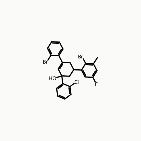 Cc1cc(F)cc(C2CC(c3ccccc3Br)=CC(O)(c3ccccc3Cl)C2)c1Br